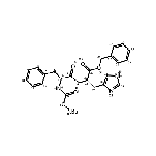 CC(C)(C)OC(=O)N[C@@H](Cc1ccccc1)C(=O)O[C@@H](Cc1c[nH]cn1)C(=O)OCc1ccccc1